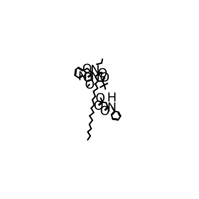 CCCCCCCCCCCC(CCC(OC)C(C(=O)C(C)(C)C)N1C(=O)C(Oc2ccccn2)N(CCC)C1=O)OC(=O)CC(=O)Nc1ccccc1